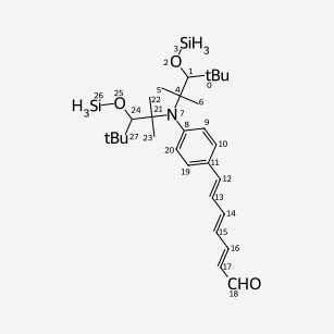 CC(C)(C)C(O[SiH3])C(C)(C)N(c1ccc(C=CC=CC=CC=O)cc1)C(C)(C)C(O[SiH3])C(C)(C)C